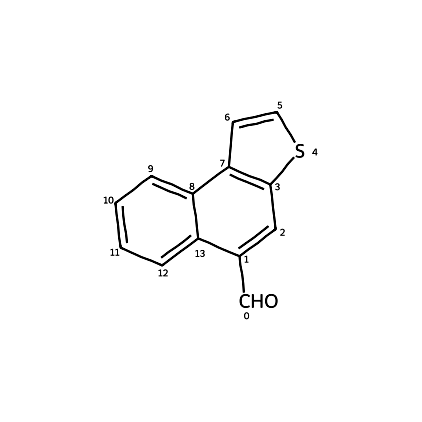 O=Cc1cc2sccc2c2ccccc12